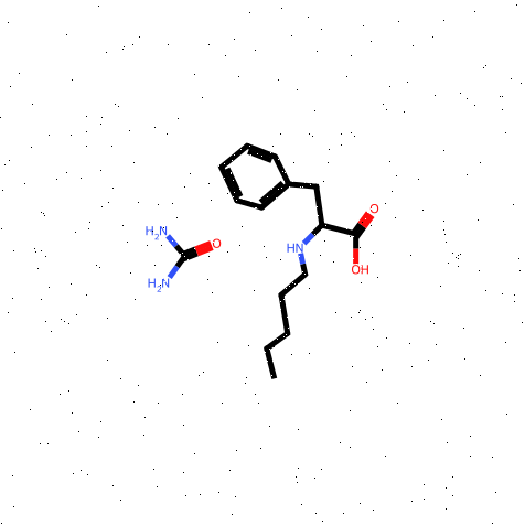 CCCCCNC(Cc1ccccc1)C(=O)O.NC(N)=O